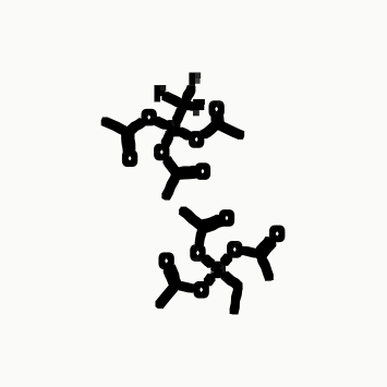 CC(=O)O[Si](OC(C)=O)(OC(C)=O)C(F)(F)F.CC[Si](OC(C)=O)(OC(C)=O)OC(C)=O